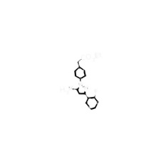 CCOC(=O)Cc1ccc(-n2nc(-c3ccccc3F)cc2N)cc1